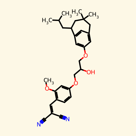 COc1cc(OCC(O)COc2cc3cc(c2)C(CC(C)C)CC(C)(C)C3)ccc1C=C(C#N)C#N